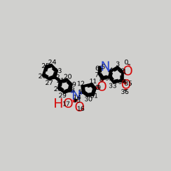 COc1cc2nccc(Oc3ccc(N(C(=O)O)c4ccc(-c5ccccc5)cc4)cc3)c2cc1OC